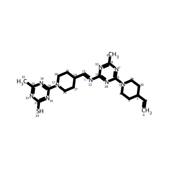 C=CC1CCN(c2nc(C)nc(/N=C/C3CCN(c4nc(C)nc(S)n4)CC3)n2)CC1